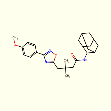 COc1ccc(-c2noc(CC(C)(C)CC(=O)NC3C4CC5CC(C4)CC3C5)n2)cc1